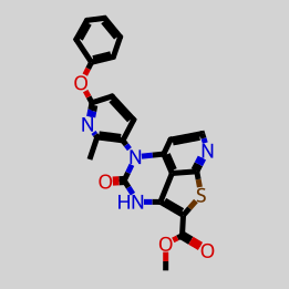 COC(=O)c1sc2nccc3c2c1NC(=O)N3c1ccc(Oc2ccccc2)nc1C